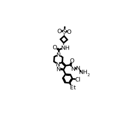 CCc1ccc(-c2nn3c(c2C(=O)N=NN)CN(C(=O)N[C@H]2C[C@@H](S(C)(=O)=O)C2)CC3)cc1Cl